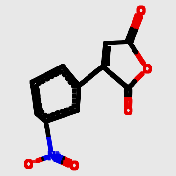 O=C1C=C(c2cccc([N+](=O)[O-])c2)C(=O)O1